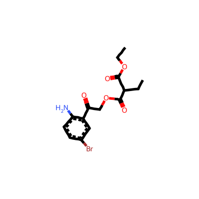 CCOC(=O)C(CC)C(=O)OCC(=O)c1cc(Br)ccc1N